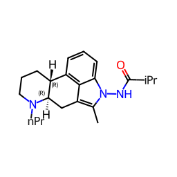 CCCN1CCC[C@@H]2c3cccc4c3c(c(C)n4NC(=O)C(C)C)C[C@H]21